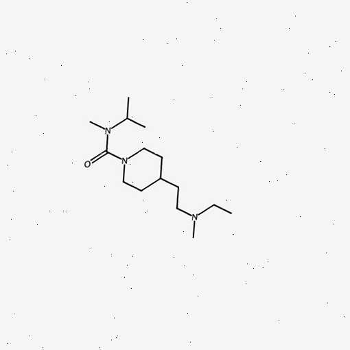 CCN(C)CCC1CCN(C(=O)N(C)C(C)C)CC1